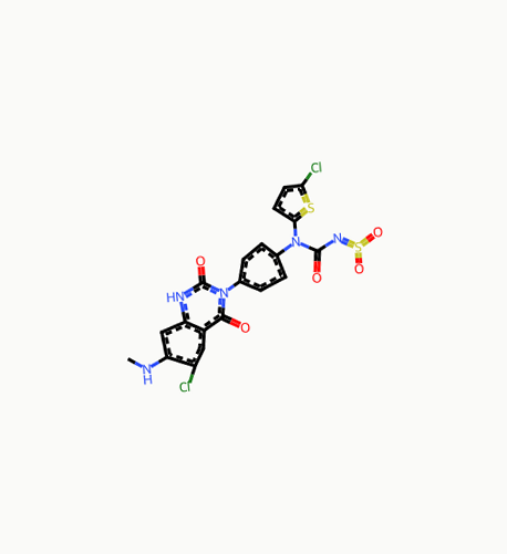 CNc1cc2[nH]c(=O)n(-c3ccc(N(C(=O)N=S(=O)=O)c4ccc(Cl)s4)cc3)c(=O)c2cc1Cl